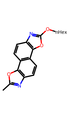 CCCCCCOc1nc2ccc3c(ccc4nc(C)oc43)c2o1